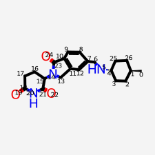 C[C@H]1CC[C@H](NCc2ccc3c(c2)CN(C2CCC(=O)NC2=O)C3=O)CC1